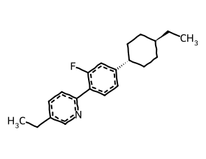 CCc1ccc(-c2ccc([C@H]3CC[C@H](CC)CC3)cc2F)nc1